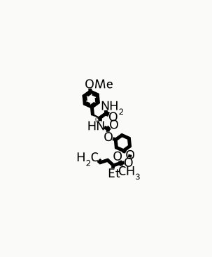 C=CCC(CC)C1(C)OOC2(CCCC(OC(=O)N[C@@H](Cc3ccc(OC)cc3)C(N)=O)C2)O1